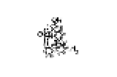 C[C@H]1CCC(c2ccccc2)S(=O)(=O)N1Cc1cc(F)c([C@]2(c3n[nH]c(=O)o3)C[C@H](O)C2)cc1F